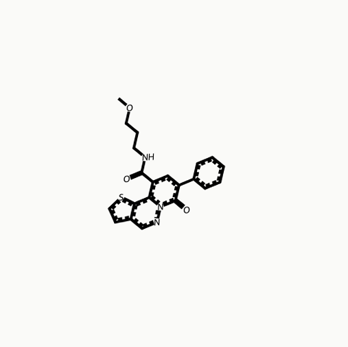 COCCCNC(=O)c1cc(-c2ccccc2)c(=O)n2ncc3ccsc3c12